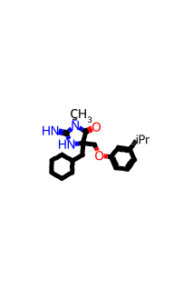 CC(C)c1cccc(OCC2(CC3CCCCC3)NC(=N)N(C)C2=O)c1